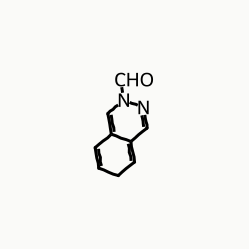 O=CN1C=C2C=CCC=C2C=N1